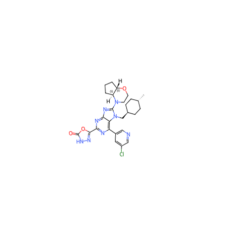 C[C@H]1CC[C@H](Cn2c(N3CCO[C@H]4CCC[C@@H]43)nc3nc(-c4n[nH]c(=O)o4)nc(-c4cncc(Cl)c4)c32)CC1